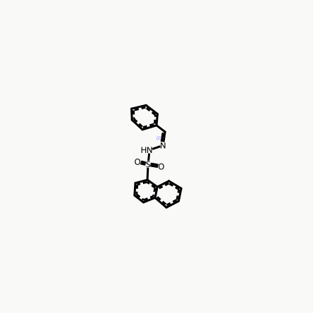 O=S(=O)(N/N=C\c1ccccc1)c1cccc2ccccc12